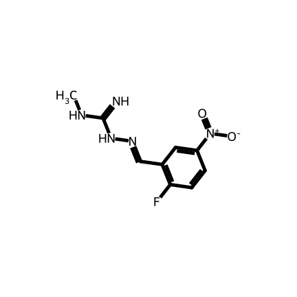 CNC(=N)NN=Cc1cc([N+](=O)[O-])ccc1F